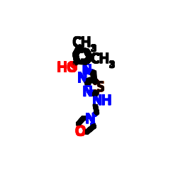 Cc1cc(C)c(-n2cc3sc(NCCN4CCOCC4)nc3n2)c(O)c1